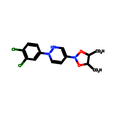 O=C(O)C1ON(C2=CNN(c3ccc(Cl)c(Cl)c3)C=C2)OC1C(=O)O